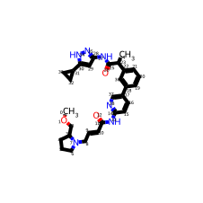 COCC1CCCN1C/C=C/C(=O)Nc1ccc(-c2cccc(C(C)C(=O)Nc3cc(C4CC4)[nH]n3)c2)cn1